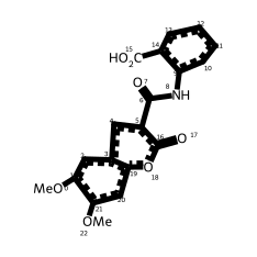 COc1cc2cc(C(=O)Nc3ccccc3C(=O)O)c(=O)oc2cc1OC